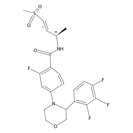 C[C@H](/C=C/S(C)(=O)=O)NC(=O)c1ccc(N2CCOCC2c2ccc(F)c(F)c2F)cc1F